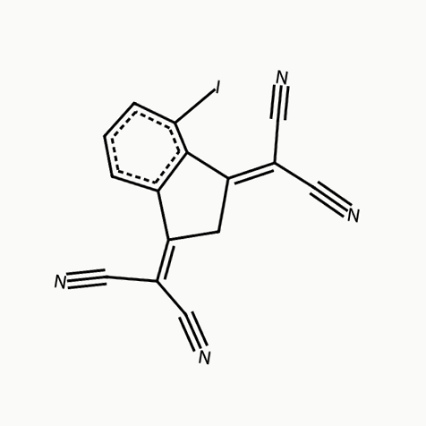 N#CC(C#N)=C1CC(=C(C#N)C#N)c2c(I)cccc21